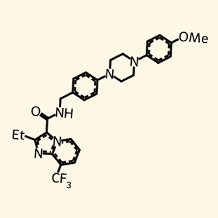 CCc1nc2c(C(F)(F)F)cccn2c1C(=O)NCc1ccc(N2CCN(c3ccc(OC)cc3)CC2)cc1